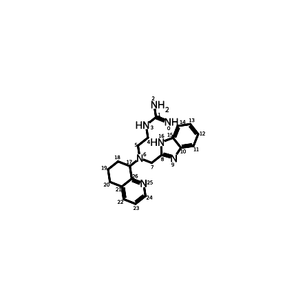 N=C(N)NCCN(Cc1nc2ccccc2[nH]1)C1CCCc2cccnc21